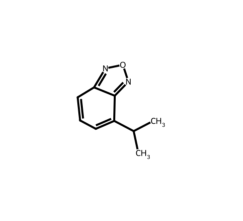 CC(C)c1cccc2nonc12